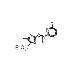 CCOC(=O)c1sc(SNc2cccc(F)n2)nc1C